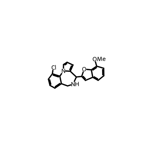 COc1cccc2cc(C3NCc4cccc(Cl)c4-n4cccc43)oc12